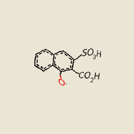 [O]c1c(C(=O)O)c(S(=O)(=O)O)cc2ccccc12